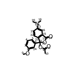 COc1cccc(C2(OC(C)=O)OC(=O)c3cc(N(C)C)ccc32)c1